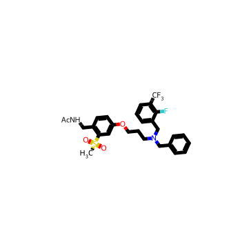 CC(=O)NCc1ccc(OCCCN(Cc2ccccc2)Cc2cccc(C(F)(F)F)c2F)cc1S(C)(=O)=O